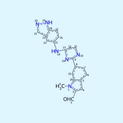 Cn1c(C=O)cc2ccc(-c3nccc(Nc4ccc5[nH]ncc5c4)n3)cc21